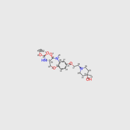 CN1C(=O)[C@@H](NC(=O)OC(C)(C)C)COc2ccc(OCCN3CCC(C)(O)CC3)cc21